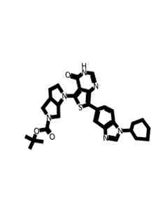 CC(C)(C)OC(=O)N1CC2CCN(c3sc(-c4ccc5c(c4)ncn5C4CCCCC4)c4nc[nH]c(=O)c34)C2C1